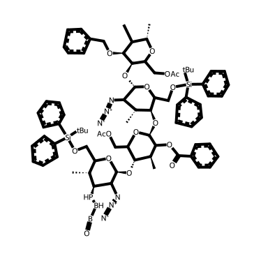 CC(=O)OCC1O[C@@H](O[C@@H]2C(CO[Si](c3ccccc3)(c3ccccc3)C(C)(C)C)O[C@@H](O[C@@H]3C(COC(C)=O)O[C@@H](C)C(C)[C@@H]3OCc3ccccc3)C(N=[N+]=[N-])[C@H]2C)C(OC(=O)c2ccccc2)[C@@H](C)[C@@H]1O[C@@H]1OC(CO[Si](c2ccccc2)(c2ccccc2)C(C)(C)C)[C@@H](C)[C@H](PBB=O)C1N=[N+]=[N-]